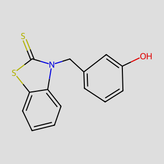 Oc1cccc(Cn2c(=S)sc3ccccc32)c1